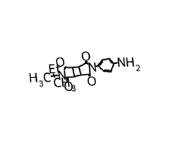 CCC(C)(C)N1C(=O)C2C3C(=O)N(c4ccc(N)cc4)C(=O)C3C2C1=O